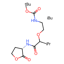 CC[C@H](C)C(COC(C(=O)N[C@H]1CCOC1=O)C(C)C)NC(=O)OC(C)(C)C